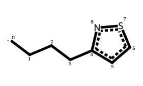 [CH2]CC[CH]c1ccsn1